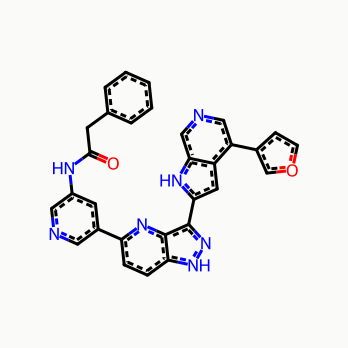 O=C(Cc1ccccc1)Nc1cncc(-c2ccc3[nH]nc(-c4cc5c(-c6ccoc6)cncc5[nH]4)c3n2)c1